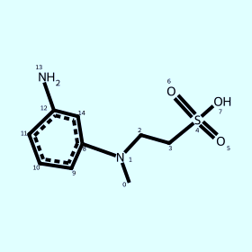 CN(CCS(=O)(=O)O)c1cccc(N)c1